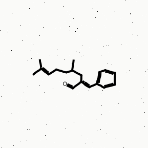 CC(C)=CCCC(C)C/C(C=O)=C\c1ccccc1